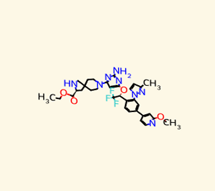 CCOC(=O)[C@@H]1CC2(CCN(c3cc(O[C@H](c4ccc(-c5ccnc(OC)c5)cc4-n4ccc(C)n4)C(F)(F)F)nc(N)n3)CC2)CN1